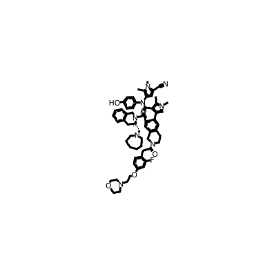 Cc1c(C(=O)N(c2ccc(O)cc2)c2cc(C#N)n(C)c2C)c(-c2cc3c(cc2C(=O)N2Cc4ccccc4C[C@H]2CN2CCCCCC2)CN(C(=O)Cc2ccc(OCCN4CCOCC4)cc2F)CC3)cn1C